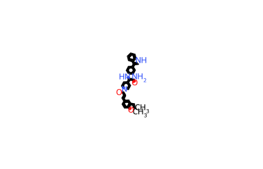 CC1(C)Cc2cc(C=CC(=O)N3CCC(C(NC4CCC(c5c[nH]c6ccccc56)CC4)C(N)=O)CC3)ccc2O1